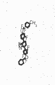 C[C@H]1CC[C@H](C(F)(F)Oc2ccc(-c3ccc(-c4ccc(OC(F)(F)C5CCCCC5)cc4F)c4nsnc34)c(F)c2)CC1